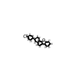 Clc1ccc(-c2ccc3c(ccc4c5ccccc5oc34)c2)cc1